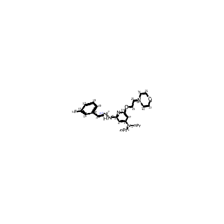 CCCN(CCC)c1cc(N/N=C/c2cccc(F)c2)nc(OCCN2CCOCC2)c1